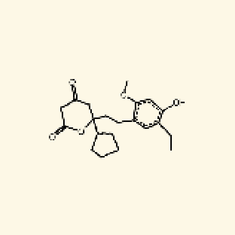 CCc1cc(CCC2(C3CCCC3)CC(=O)CC(=O)O2)c(OC)cc1O